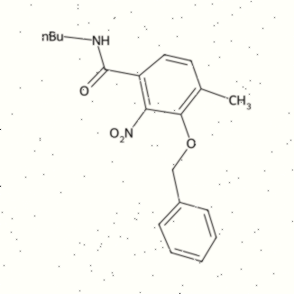 CCCCNC(=O)c1ccc(C)c(OCc2ccccc2)c1[N+](=O)[O-]